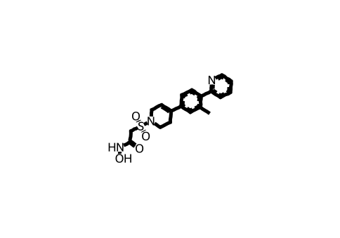 Cc1cc(C2=CCN(S(=O)(=O)CC(=O)NO)CC2)ccc1-c1ccccn1